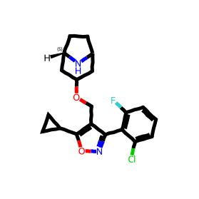 Fc1cccc(Cl)c1-c1noc(C2CC2)c1COC1CC2CC[C@@H](C1)N2